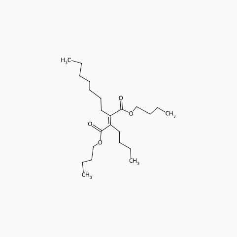 CCCCCCCC(C(=O)OCCCC)=C(CCCC)C(=O)OCCCC